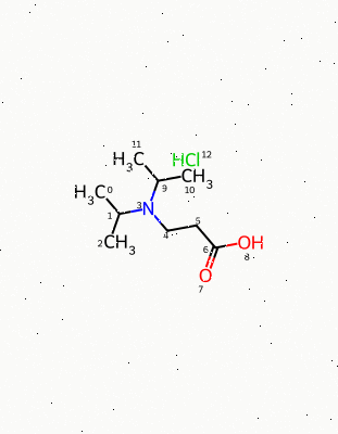 CC(C)N(CCC(=O)O)C(C)C.Cl